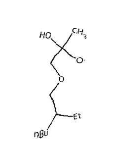 CCCCC(CC)COCC(C)([O])O